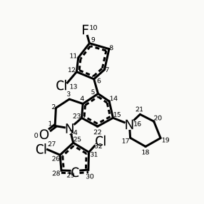 O=C1CCc2c(-c3ccc(F)cc3Cl)cc(N3CCCCC3)cc2N1c1c(Cl)cccc1Cl